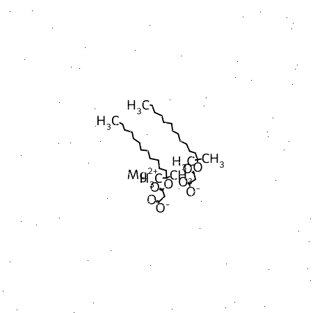 CCCCCCCCCCCCC(C)(C)OC(=O)CC(=O)[O-].CCCCCCCCCCCCC(C)(C)OC(=O)CC(=O)[O-].[Mg+2]